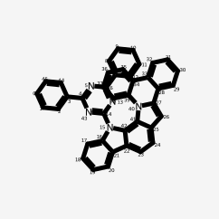 c1ccc(-c2nc(-c3ccccc3)nc(-n3c4ccccc4c4ccc5cc6c7ccccc7c7ccccc7n6c5c43)n2)cc1